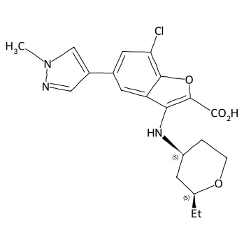 CC[C@H]1C[C@@H](Nc2c(C(=O)O)oc3c(Cl)cc(-c4cnn(C)c4)cc23)CCO1